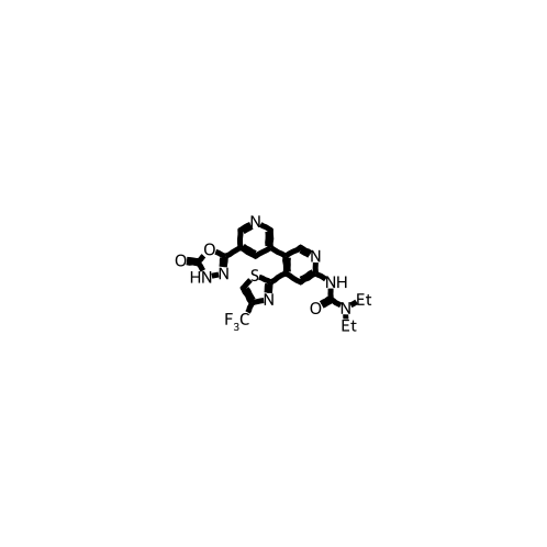 CCN(CC)C(=O)Nc1cc(-c2nc(C(F)(F)F)cs2)c(-c2cncc(-c3n[nH]c(=O)o3)c2)cn1